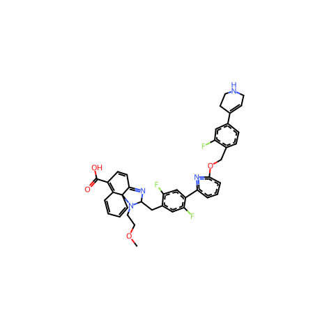 COCCN1C(Cc2cc(F)c(-c3cccc(OCc4ccc(C5=CCNCC5)cc4F)n3)cc2F)N=C2C=CC(C(=O)O)=C3C=CC=CC231